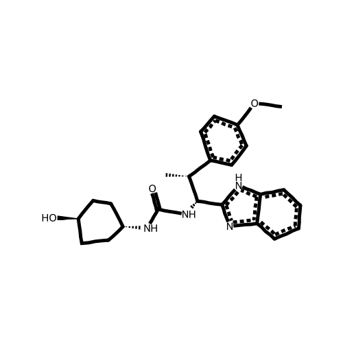 COc1ccc([C@@H](C)[C@@H](NC(=O)N[C@H]2CC[C@H](O)CC2)c2nc3ccccc3[nH]2)cc1